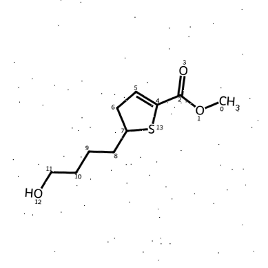 COC(=O)C1=CCC(CCCCO)S1